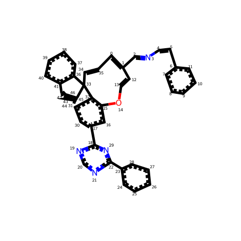 C1=C(/C=N/C=C\c2ccccc2)/C=C/Oc2cc(-c3ncnc(-c4ccccc4)n3)ccc2C2(/C=C/1)c1ccccc1-c1ccccc12